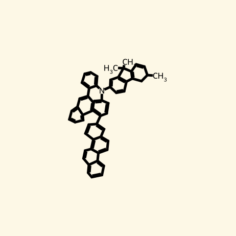 CC1C=CC2=C(C1)c1ccc(N(c3ccc(-c4ccc5c(ccc6c7ccccc7ccc56)c4)cc3)c3ccccc3-c3ccc4ccccc4c3)cc1C2(C)C